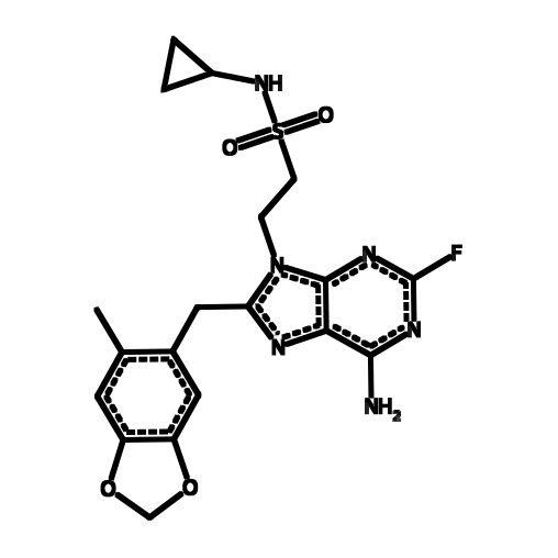 Cc1cc2c(cc1Cc1nc3c(N)nc(F)nc3n1CCS(=O)(=O)NC1CC1)OCO2